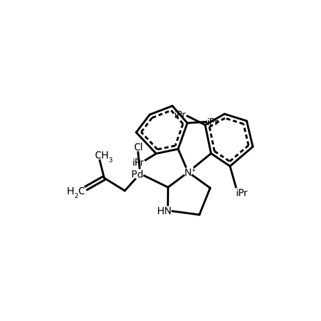 C=C(C)[CH2][Pd]([Cl])[CH]1NCC[N+]1(c1c(C(C)C)cccc1C(C)C)c1c(C(C)C)cccc1C(C)C